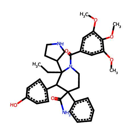 CCC1(C2CCNC2)C(c2ccc(O)cc2)C(C(N)=O)(c2ccccc2)CCN1C(=O)c1cc(OC)c(OC)c(OC)c1